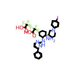 NC1([C@H]2CCCN(c3ccc(I)cc3)C2)CCCCC1Nc1nccc(-c2ccccc2)n1.O=C(O)C(F)(F)F.O=C(O)C(F)(F)F